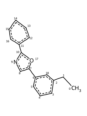 CCc1cccc(-c2cnc(-c3ccccc3)o2)c1